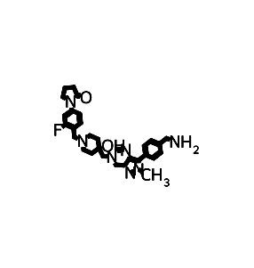 Cn1nc2c(c1-c1ccc(CN)cc1)N=CN(CC1(O)CCN(Cc3ccc(N4CCCC4=O)cc3F)CC1)C2